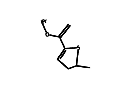 C=C(OC(C)C)C1=CCC(C)S1